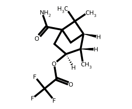 C[C@@H]1[C@@H](OC(=O)C(F)(F)F)CC2(C(N)=O)C[C@@H]1C2(C)C